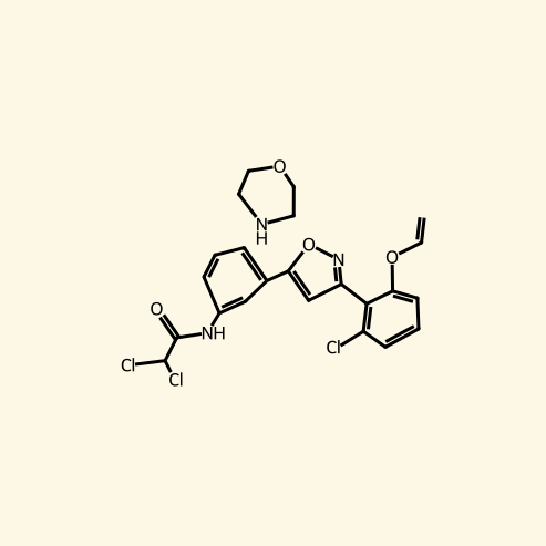 C1COCCN1.C=COc1cccc(Cl)c1-c1cc(-c2cccc(NC(=O)C(Cl)Cl)c2)on1